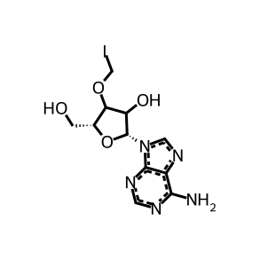 Nc1ncnc2c1ncn2[C@@H]1O[C@H](CO)C(OCI)C1O